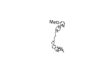 C/N=C\c1ccc(OCCCCN2CCN(c3ncccc3OC)CC2)cc1N